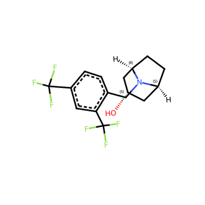 O[C@@H]1C[C@H]2CC[C@@H](C1)N2Cc1ccc(C(F)(F)F)cc1C(F)(F)F